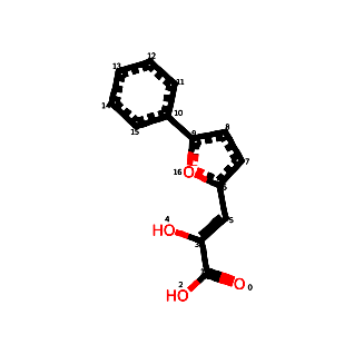 O=C(O)C(O)=Cc1ccc(-c2ccccc2)o1